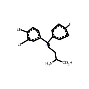 CCc1ccc(/C(=C/CC(N)C(=O)O)c2ccc(F)cc2)cc1CC